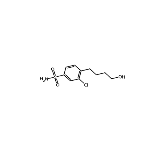 NS(=O)(=O)c1ccc(CCCCO)c(Cl)c1